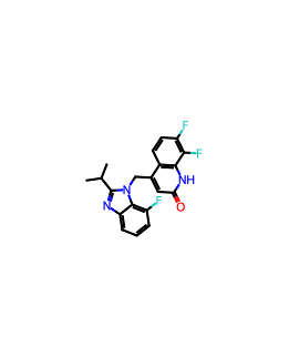 CC(C)c1nc2cccc(F)c2n1Cc1cc(=O)[nH]c2c(F)c(F)ccc12